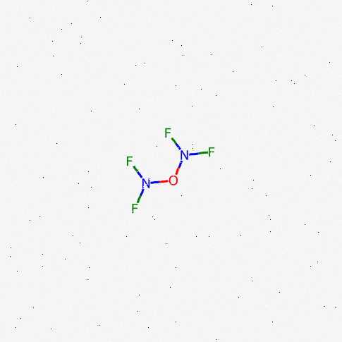 FN(F)ON(F)F